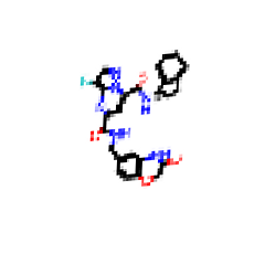 O=C1COc2ccc(CNC(=O)c3cc(C(=O)N[C@H]4CCc5ccccc54)n4ncc(F)c4n3)cc2N1